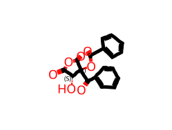 O=C(O[C@]1(C(=O)c2ccccc2)C(=O)OC(=O)[C@H]1O)c1ccccc1